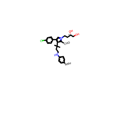 CNc1ccc(NCCC(C)(C)c2c(-c3ccc(Cl)cc3)cn(CC[C@H](O)CO)c2C=O)cc1